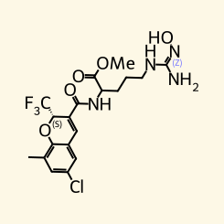 COC(=O)C(CCCN/C(N)=N\O)NC(=O)C1=Cc2cc(Cl)cc(C)c2O[C@@H]1C(F)(F)F